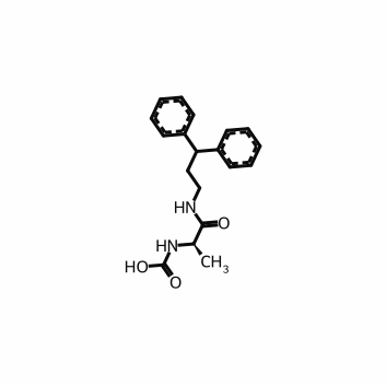 C[C@@H](NC(=O)O)C(=O)NCCC(c1ccccc1)c1ccccc1